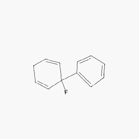 FC1(c2ccccc2)C=CCC=C1